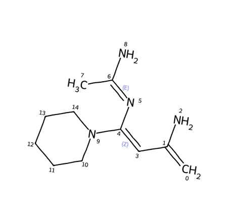 C=C(N)/C=C(\N=C(/C)N)N1CCCCC1